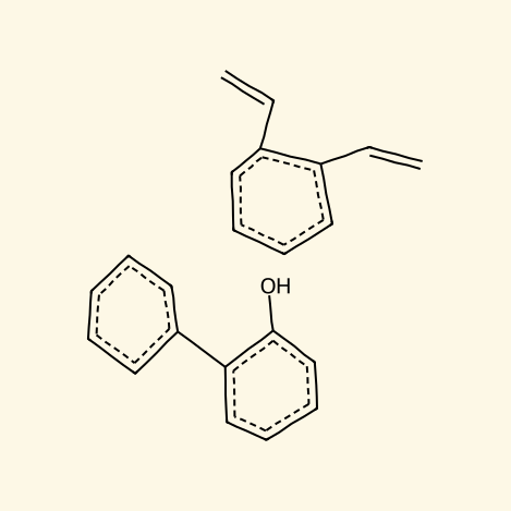 C=Cc1ccccc1C=C.Oc1ccccc1-c1ccccc1